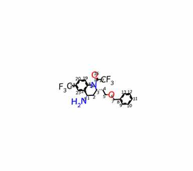 N[C@H]1C[C@@H](CCOCc2ccccc2)N(C(=O)C(F)(F)F)c2ccc(C(F)(F)F)cc21